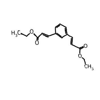 CCOC(=O)C=Cc1cccc(C=CC(=O)OCC)c1